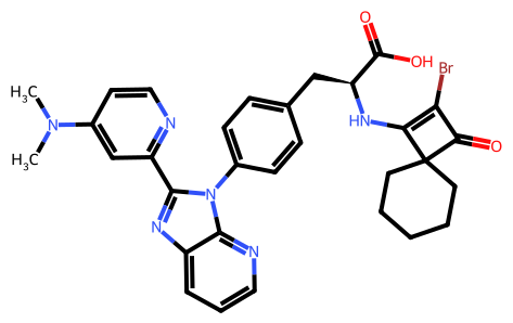 CN(C)c1ccnc(-c2nc3cccnc3n2-c2ccc(C[C@H](NC3=C(Br)C(=O)C34CCCCC4)C(=O)O)cc2)c1